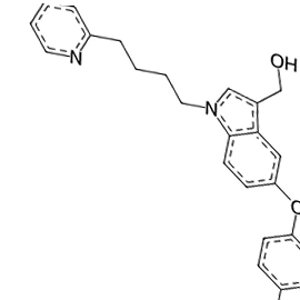 OCc1cn(CCCCc2ccccn2)c2ccc(Oc3ccc(O)cc3)cc12